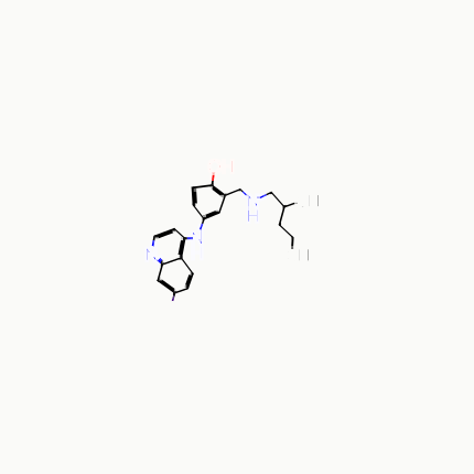 CCCC(C)CNCc1cc(Nc2ccnc3cc(I)ccc23)ccc1O